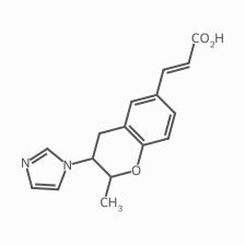 CC1Oc2ccc(/C=C/C(=O)O)cc2CC1n1ccnc1